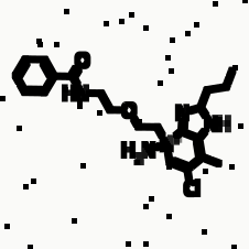 CCCC1N=C2C(=C(C)C(Cl)=C[N+]2(N)CCOCCNC(=O)c2ccccc2)N1